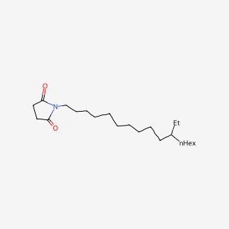 CCCCCCC(CC)CCCCCCCCCCN1C(=O)CCC1=O